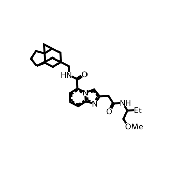 CCC(COC)NC(=O)Cc1cn2c(C(=O)NCC34CC5CCC6(CC6C3)C5C4)cccc2n1